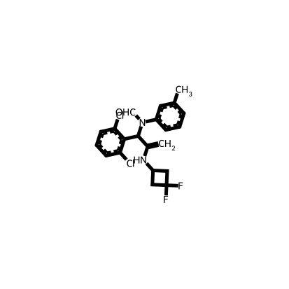 C=C(NC1CC(F)(F)C1)C(c1c(Cl)cccc1Cl)N(C=O)c1cccc(C)c1